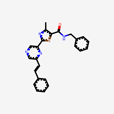 Cc1nc(-c2cncc(/C=C/c3ccccc3)n2)sc1C(=O)NCc1ccccc1